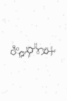 Cc1cc(C(F)(F)F)nn1CC(=O)Nc1cnc(-n2cnc([C@@H]3CCCS3(=O)=O)c2)c(F)c1